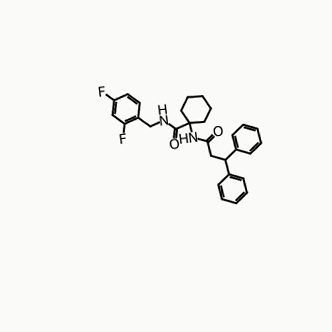 O=C(CC(c1ccccc1)c1ccccc1)NC1(C(=O)NCc2ccc(F)cc2F)CCCCC1